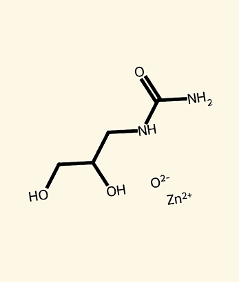 NC(=O)NCC(O)CO.[O-2].[Zn+2]